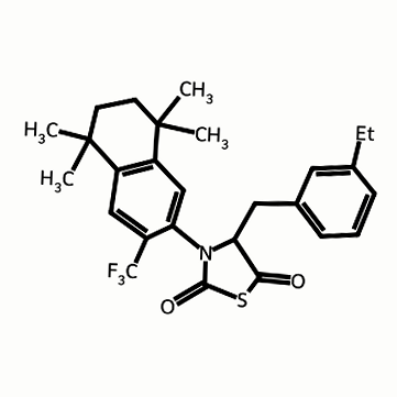 CCc1cccc(CC2C(=O)SC(=O)N2c2cc3c(cc2C(F)(F)F)C(C)(C)CCC3(C)C)c1